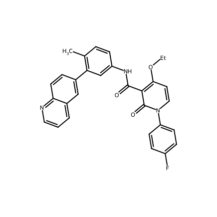 CCOc1ccn(-c2ccc(F)cc2)c(=O)c1C(=O)Nc1ccc(C)c(-c2ccc3ncccc3c2)c1